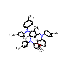 Cc1ccc(N(Cc2c(C)c(N(c3ccc(C)cc3)c3ccc(C)cc3)c(C)c(N(c3ccc(C)cc3)c3ccc(C)cc3)c2C)c2ccc(C)cc2)cc1